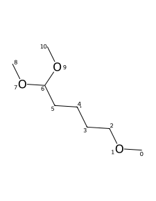 COCC[CH]CC(OC)OC